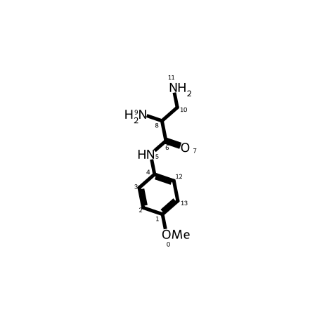 COc1ccc(NC(=O)C(N)CN)cc1